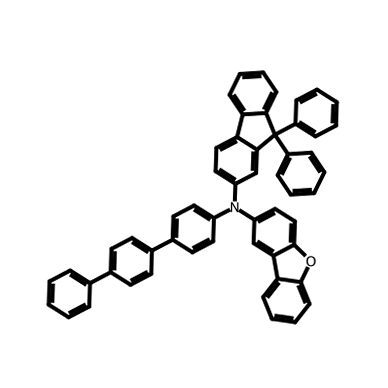 c1ccc(-c2ccc(-c3ccc(N(c4ccc5c(c4)C(c4ccccc4)(c4ccccc4)c4ccccc4-5)c4ccc5oc6ccccc6c5c4)cc3)cc2)cc1